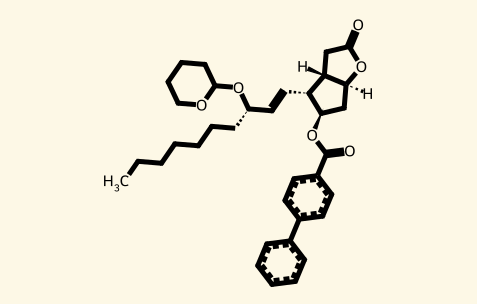 CCCCCCC[C@@H](/C=C/[C@@H]1[C@@H]2CC(=O)O[C@H]2C[C@H]1OC(=O)c1ccc(-c2ccccc2)cc1)OC1CCCCO1